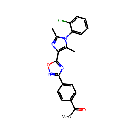 COC(=O)c1ccc(-c2noc(-c3nc(C)n(-c4ccccc4Cl)c3C)n2)cc1